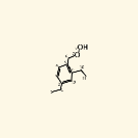 CCc1ccc(COO)c(CC)c1